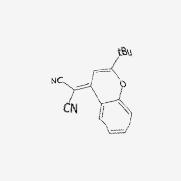 CC(C)(C)C1=CC(=C(C#N)C#N)c2ccccc2O1